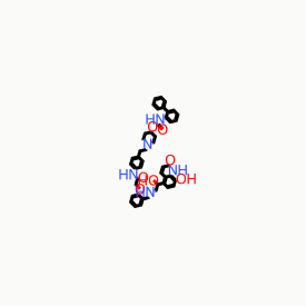 O=C(COc1ccccc1CNCC(O)c1ccc(O)c2[nH]c(=O)ccc12)Nc1ccc(CCN2CCC(OC(=O)Nc3ccccc3-c3ccccc3)CC2)cc1